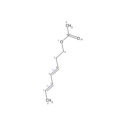 C/C=C/C=C/CCOC(C)=O